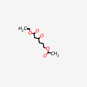 C=COC(=O)CC(=O)CCCOC(C)=O